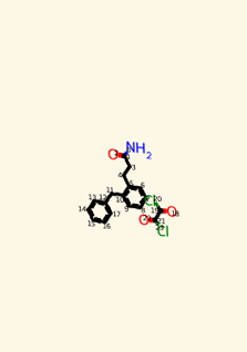 NC(=O)CCc1ccccc1Cc1ccccc1.O=C(Cl)C(=O)Cl